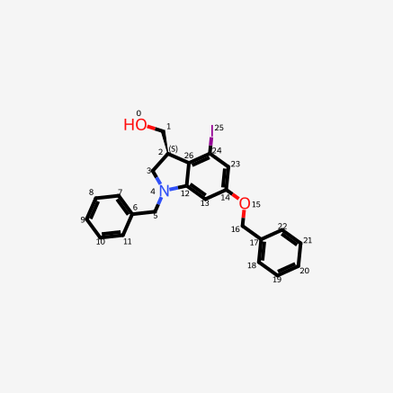 OC[C@@H]1CN(Cc2ccccc2)c2cc(OCc3ccccc3)cc(I)c21